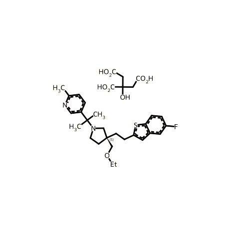 CCOC[C@@]1(CCc2cc3cc(F)ccc3s2)CCN(C(C)(C)c2ccc(C)nc2)C1.O=C(O)CC(O)(CC(=O)O)C(=O)O